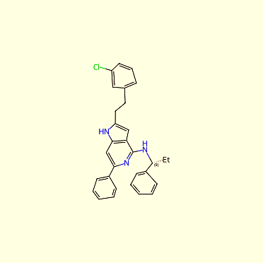 CC[C@@H](Nc1nc(-c2ccccc2)cc2[nH]c(CCc3cccc(Cl)c3)cc12)c1ccccc1